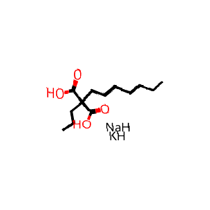 CCCCCCCC(CCC)(C(=O)O)C(=O)O.[KH].[NaH]